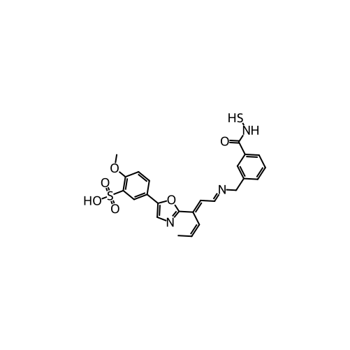 C\C=C/C(=C\C=N\Cc1cccc(C(=O)NS)c1)c1ncc(-c2ccc(OC)c(S(=O)(=O)O)c2)o1